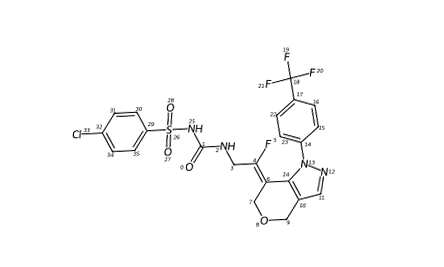 O=C(NC/C(F)=C1\COCc2cnn(-c3ccc(C(F)(F)F)cc3)c21)NS(=O)(=O)c1ccc(Cl)cc1